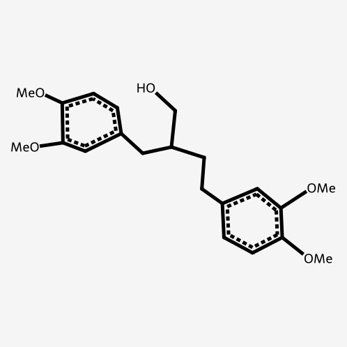 COc1ccc(CCC(CO)Cc2ccc(OC)c(OC)c2)cc1OC